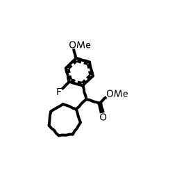 COC(=O)C(c1ccc(OC)cc1F)C1CCCCCC1